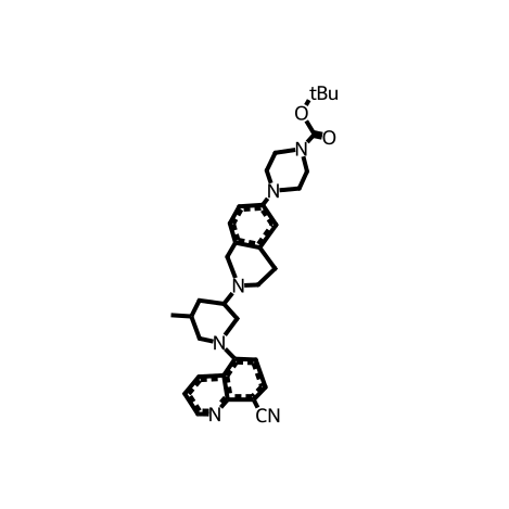 CC1CC(N2CCc3cc(N4CCN(C(=O)OC(C)(C)C)CC4)ccc3C2)CN(c2ccc(C#N)c3ncccc23)C1